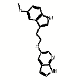 COc1ccc2[nH]cc(CCOc3cnc4[nH]ccc4c3)c2c1